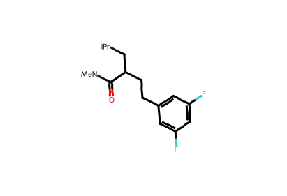 CNC(=O)C(CCc1cc(F)cc(F)c1)CC(C)C